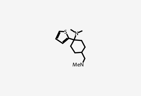 CNCC1CCC(c2cccs2)(N(C)C)CC1